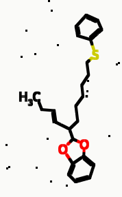 CCC=CC(CC[CH]CCCSc1ccccc1)C1Oc2ccccc2O1